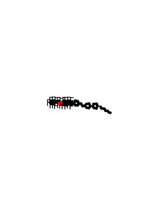 CCCCCCC[C@H]1CC[C@H](C2CCC(CCc3ccc(C(F)(F)C(F)(F)C(F)(F)C(F)(F)C(F)(F)C(F)(F)C(F)(F)C(F)(F)C(F)(F)F)cc3)CC2)CC1